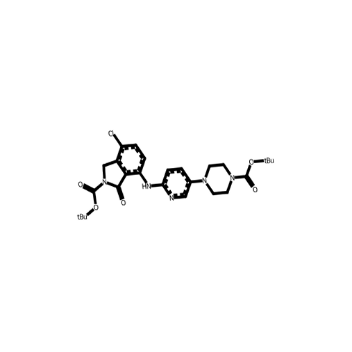 CC(C)(C)OC(=O)N1CCN(c2ccc(Nc3ccc(Cl)c4c3C(=O)N(C(=O)OC(C)(C)C)C4)nc2)CC1